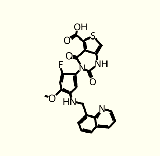 COc1cc(F)c(-n2c(=O)[nH]c3csc(C(=O)O)c3c2=O)cc1NCc1cccc2cccnc12